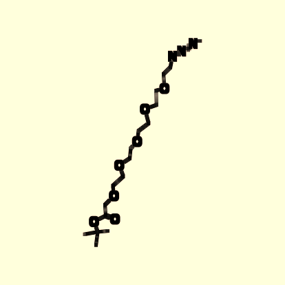 CC(C)(C)OC(=O)COCCOCCOCCOCCOCCN=[N+]=[N-]